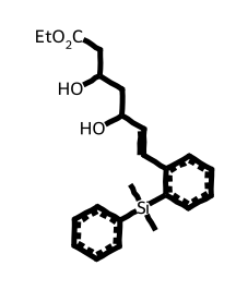 CCOC(=O)CC(O)CC(O)C=Cc1ccccc1[Si](C)(C)c1ccccc1